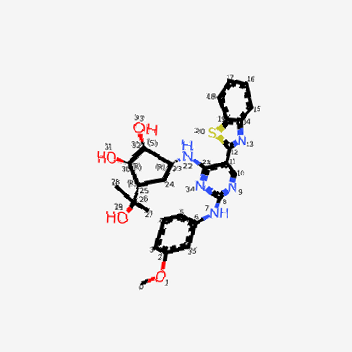 COc1cccc(Nc2ncc(-c3nc4ccccc4s3)c(N[C@@H]3C[C@@H](C(C)(C)O)[C@@H](O)[C@H]3O)n2)c1